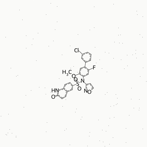 COc1cc(-c2cccc(Cl)c2)c(F)cc1N(c1ccon1)S(=O)(=O)c1ccc2[nH]c(=O)ccc2c1